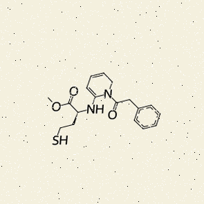 COC(=O)[C@H](CCS)NC1=CC=CCN1C(=O)Cc1ccccc1